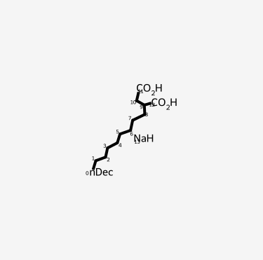 CCCCCCCCCCCCCCCCCCC(CC(=O)O)C(=O)O.[NaH]